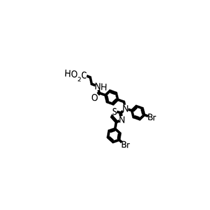 O=C(O)CCNC(=O)c1ccc(CN(c2ccc(Br)cc2)c2nc(-c3cccc(Br)c3)cs2)cc1